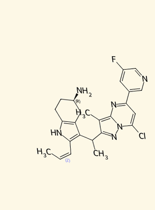 C/C=C\c1[nH]c2c(c1C(C)c1nn3c(Cl)cc(-c4cncc(F)c4)nc3c1C)C[C@H](N)CC2